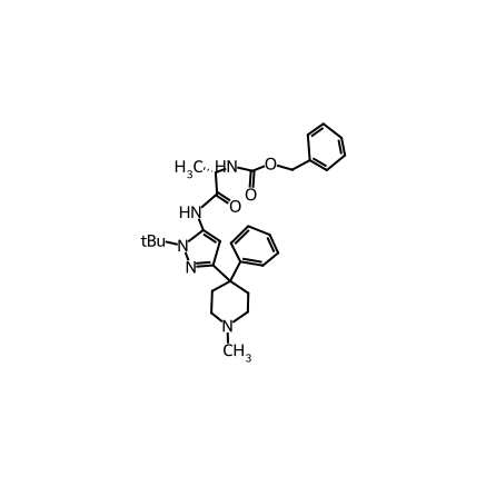 C[C@H](NC(=O)OCc1ccccc1)C(=O)Nc1cc(C2(c3ccccc3)CCN(C)CC2)nn1C(C)(C)C